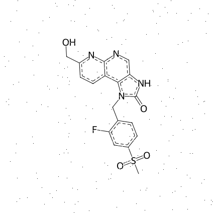 CS(=O)(=O)c1ccc(Cn2c(=O)[nH]c3cnc4nc(CO)ccc4c32)c(F)c1